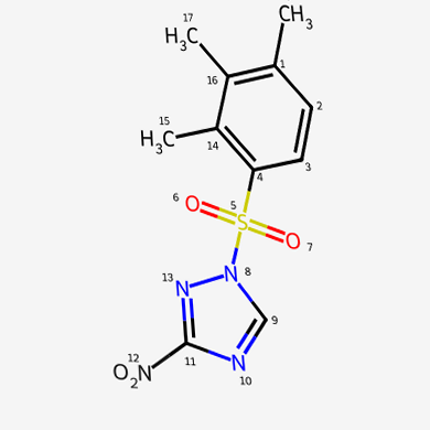 Cc1ccc(S(=O)(=O)n2cnc([N+](=O)[O-])n2)c(C)c1C